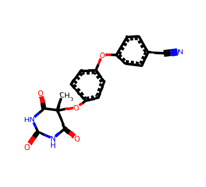 CC1(Oc2ccc(Oc3ccc(C#N)cc3)cc2)C(=O)NC(=O)NC1=O